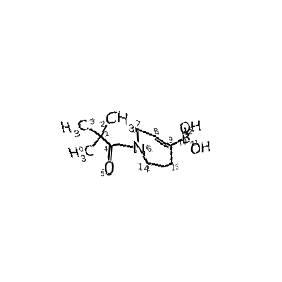 CC(C)(C)C(=O)N1CC=C(B(O)O)CC1